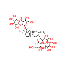 C=C1CC2CCC3[C@](C)(C(=O)OC4OC(CO)C(O)C(O)C4OC4OC(CO)C(O)C(O)C4O)CCC[C@@]3(C)[C@@H]2CCC1CC(OC1OC(CO)C(O)C(O)C1O)C(OC1OC(CO)C(O)C(O)C1O)C(O)C(O)CO